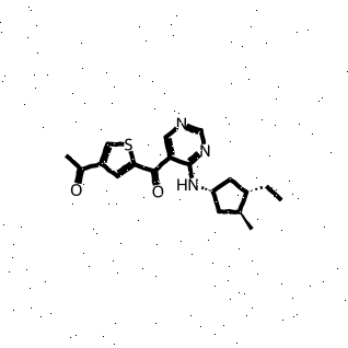 CC[C@H]1C[C@@H](Nc2ncncc2C(=O)c2cc(C(C)=O)cs2)C[C@@H]1C